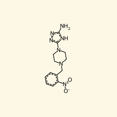 Nc1nnc(N2CCN(Cc3ccccc3[N+](=O)[O-])CC2)[nH]1